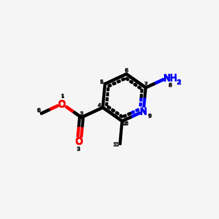 COC(=O)c1ccc(N)nc1C